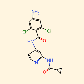 Nc1cc(Cl)c(C(=O)Nc2ccnc(NC(=O)C3CC3)c2)c(Cl)c1